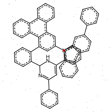 C1=C(c2ccccc2)NC(c2ccccc2-c2cc(-n3c4ccccc4c4ccc(-c5ccccc5)cc43)cc3c4ccccc4c4ccccc4c23)N=C1c1ccccc1